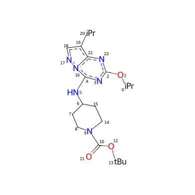 CC(C)Oc1nc(NC2CCN(C(=O)OC(C)(C)C)CC2)n2ncc(C(C)C)c2n1